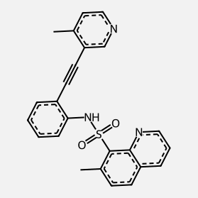 Cc1ccncc1C#Cc1ccccc1NS(=O)(=O)c1c(C)ccc2cccnc12